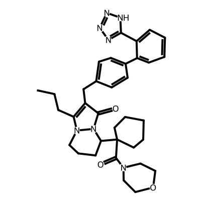 CCCc1c(Cc2ccc(-c3ccccc3-c3nnn[nH]3)cc2)c(=O)n2n1CCCC2C1(C(=O)N2CCOCC2)CCCCC1